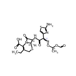 CCC1=C(C(=O)O)N2C(=O)[C@@H](NC(=O)/C(=N\O[C@H](C)OC=O)c3csc(N)n3)[C@H]2SC1